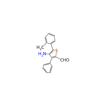 Cc1ccccc1-c1sc(C=O)c(-c2ccccc2)c1N